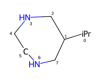 CC(C)C1CNCCNC1